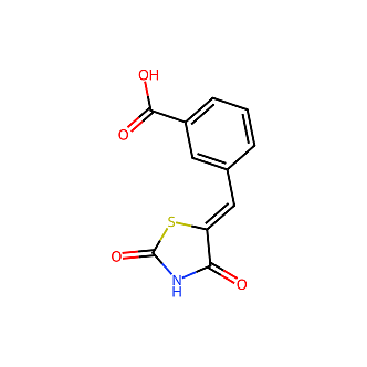 O=C1NC(=O)C(=Cc2cccc(C(=O)O)c2)S1